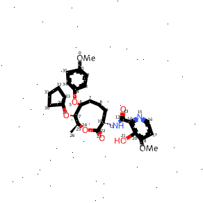 COc1ccc(O[C@H]2CCC[C@H](NC(=O)c3nccc(OC)c3O)C(=O)O[C@@H](C)[C@@H]2OC2CCCC2)cc1